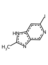 Cc1nc2cnc(I)cc2[nH]1